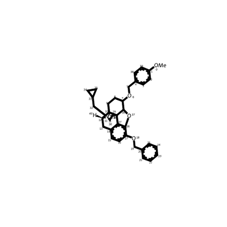 COc1ccc(COC2CC[C@@]3(O)[C@H]4Cc5ccc(OCc6ccccc6)c6c5[C@@]3(CCN4CC3CC3)C2O6)cc1